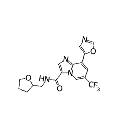 O=C(NCC1CCCO1)c1cnc2c(-c3cnco3)cc(C(F)(F)F)cn12